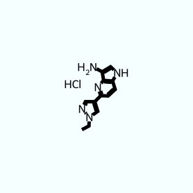 CCn1cc(-c2ccc3[nH]cc(N)c3n2)cn1.Cl